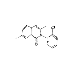 Cc1nc2ccc(F)cc2c(=O)n1-c1cccnc1Cl